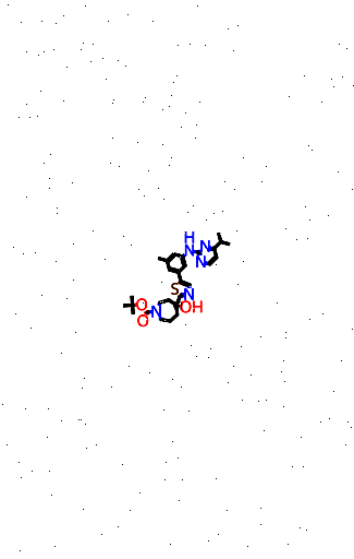 Cc1cc(Nc2nccc(C(C)C)n2)cc(-c2cnc([C@]3(O)CCCN(C(=O)OC(C)(C)C)CC3)s2)c1